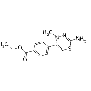 CCOC(=O)c1ccc(C2=CSC(N)=NN2C)cc1